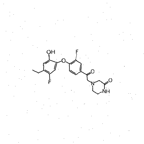 CCc1cc(O)c(Oc2ccc(C(=O)CN3CCNC(=O)C3)cc2F)cc1F